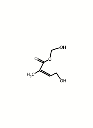 CC(=CCO)C(=O)OCO